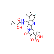 CC[C@@]1(O)C(=O)OCc2c1cc1n(c2=O)Cc2c-1nc1cc(F)c3c(c1c2CNC(=O)[C@H](O)C1CC1)CCC3